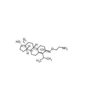 CC(C)C1=C2CC[C@H]3[C@@H]4CC[C@H](O)[C@@]4(C)CC[C@@H]3[C@@]2(C)CC/C1=N\OCCN